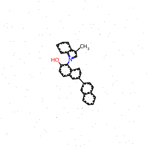 Cc1cn(-c2c(O)ccc3cc(-c4ccc5ccccc5c4)ccc23)c2ccccc12